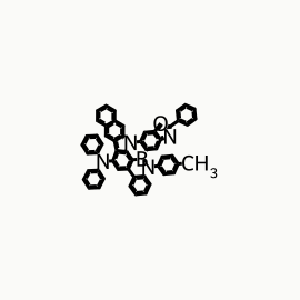 Cc1ccc(N2B3c4cc5nc(-c6ccccc6)oc5cc4-n4c5cc6ccccc6cc5c5c(N(c6ccccc6)c6ccccc6)cc(c3c54)-c3ccccc32)cc1